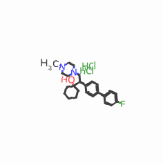 CN1CCN(CC(c2ccc(-c3ccc(F)cc3)cc2)C2(O)CCCCC2)CC1.Cl.Cl